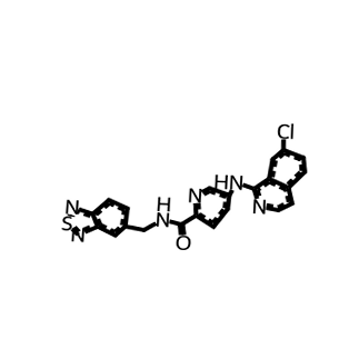 O=C(NCc1ccc2nsnc2c1)c1ccc(Nc2nccc3ccc(Cl)cc23)cn1